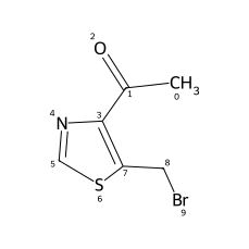 CC(=O)c1ncsc1CBr